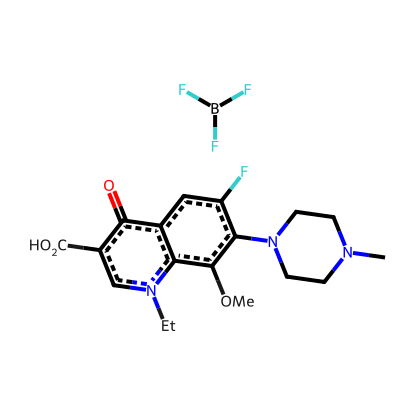 CCn1cc(C(=O)O)c(=O)c2cc(F)c(N3CCN(C)CC3)c(OC)c21.FB(F)F